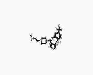 CN(C)CCN1CCN(C2=Nc3cc(C(F)(F)F)ccc3Nc3cscc32)CC1